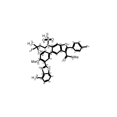 CNC(=O)c1c(-c2ccc(F)cc2)oc2cc(N(CCC(C)(C)F)S(C)(=O)=O)c(-c3ccc(OC)c(-c4nc5c(N)cccc5o4)c3)cc12